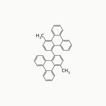 Cc1ccc(-c2ccc(C)c3c4ccccc4c4ccccc4c23)c2c3ccccc3c3ccccc3c12